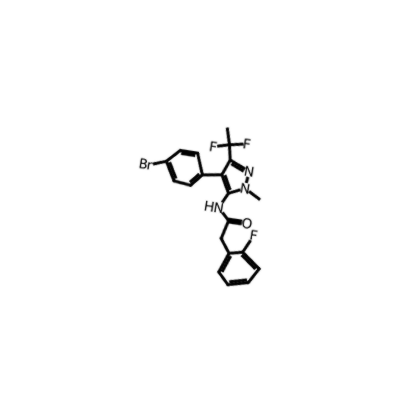 Cn1nc(C(C)(F)F)c(-c2ccc(Br)cc2)c1NC(=O)Cc1ccccc1F